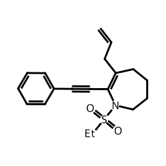 C=CCC1=C(C#Cc2ccccc2)N(S(=O)(=O)CC)CCCC1